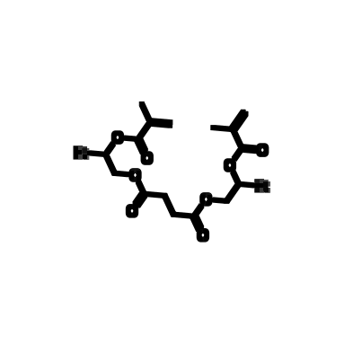 C=C(C)C(=O)OC(CC)COC(=O)CCC(=O)OCC(CC)OC(=O)C(=C)C